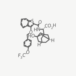 O=C(N[C@H](C(=O)O)C12C[C@@H]3C[C@@H](CC(O)(C3)C1)C2)c1sc2ccccc2c1OCc1ccc(OC(F)(F)F)cc1